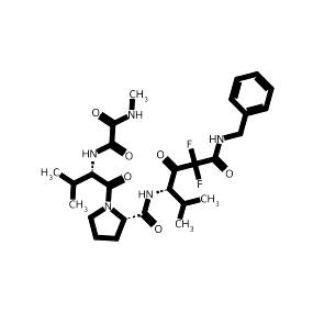 CNC(=O)C(=O)N[C@H](C(=O)N1CCC[C@H]1C(=O)N[C@H](C(=O)C(F)(F)C(=O)NCc1ccccc1)C(C)C)C(C)C